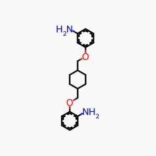 Nc1cccc(OCC2CCC(COc3ccccc3N)CC2)c1